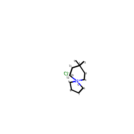 CC1(C)CC[N+]2(CCCC2)CC1.[Cl-]